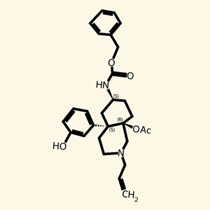 C=CCN1CC[C@@]2(c3cccc(O)c3)C[C@@H](NC(=O)OCc3ccccc3)CC[C@]2(OC(C)=O)C1